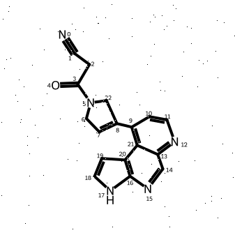 N#CCC(=O)N1CC=C(c2ccnc3cnc4[nH]ccc4c23)C1